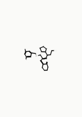 NCCC(c1nc2c(cc1CNCc1cc(C(F)(F)F)cc(C(F)(F)F)c1)CCCC2)C1CCCC1